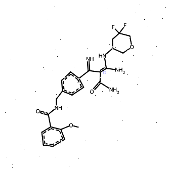 COc1ccccc1C(=O)NCc1ccc(C(=N)/C(C(N)=O)=C(/N)NC2COCC(F)(F)C2)cc1